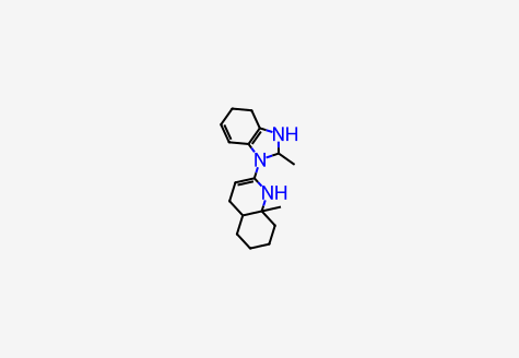 CC1NC2=C(C=CCC2)N1C1=CCC2CCCCC2(C)N1